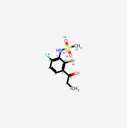 CCC(=O)c1ccc(F)c(NS(C)(=O)=O)c1Br